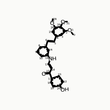 COc1cc(C=Cc2cccc(NC=CC(=O)c3ccc(O)cc3)c2)cc(OC)c1OC